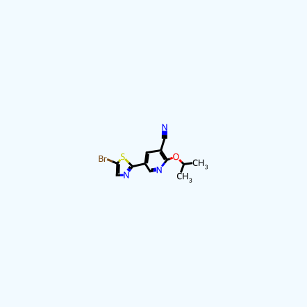 CC(C)Oc1ncc(-c2ncc(Br)s2)cc1C#N